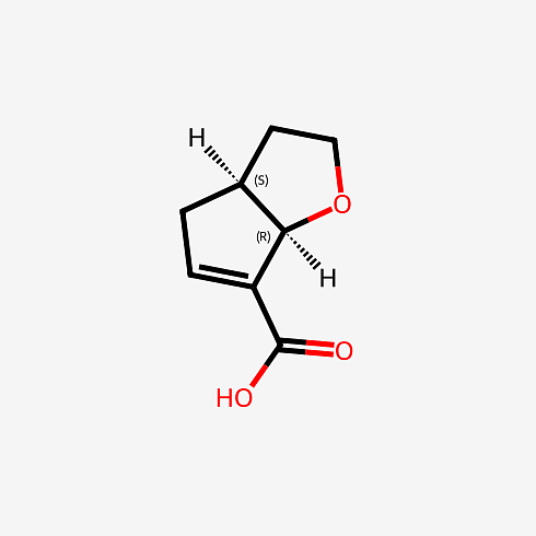 O=C(O)C1=CC[C@H]2CCO[C@@H]12